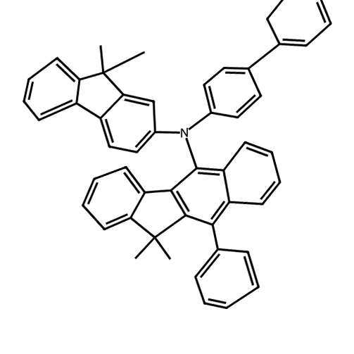 CC1(C)c2ccccc2-c2ccc(N(c3ccc(C4=CC=CCC4)cc3)c3c4c(c(-c5ccccc5)c5ccccc35)C(C)(C)c3ccccc3-4)cc21